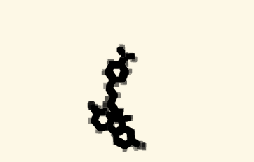 CCc1ccc2c(c1)C(C)(C)C1(C=CC=Cc3ccc(N(C)C)cc3)NC(=O)CCN21